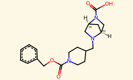 O=C(OCc1ccccc1)N1CCC(CN2C[C@@H]3C[C@H]2CN3C(=O)O)CC1